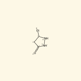 CCC1CC(=O)NN1